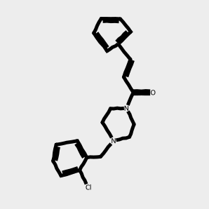 O=C(/C=C/c1ccccc1)N1CCN(Cc2ccccc2Cl)CC1